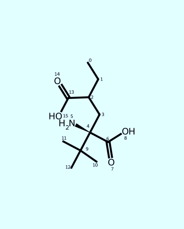 CCC(C[C@](N)(C(=O)O)C(C)(C)C)C(=O)O